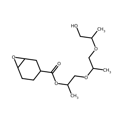 CC(CO)OCC(C)OCC(C)OC(=O)C1CCC2OC2C1